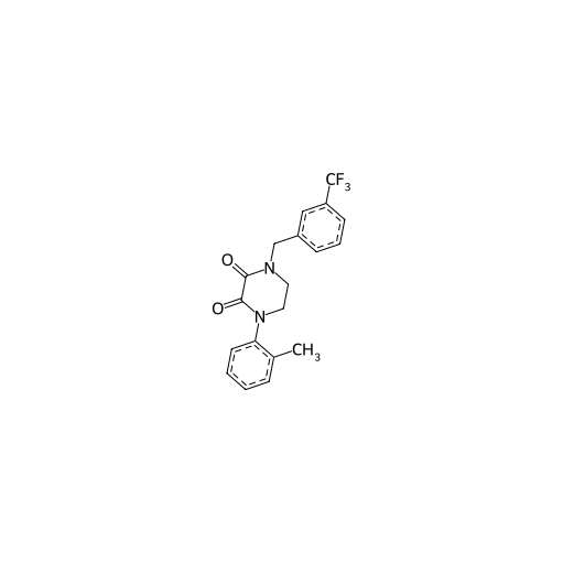 Cc1ccccc1N1CCN(Cc2cccc(C(F)(F)F)c2)C(=O)C1=O